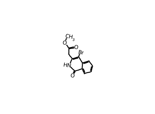 COC(=O)Cc1[nH]c(=O)c2ccccc2c1Br